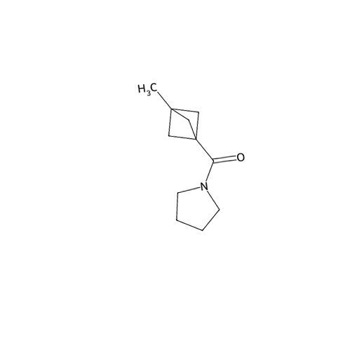 CC12CC(C(=O)N3CCCC3)(C1)C2